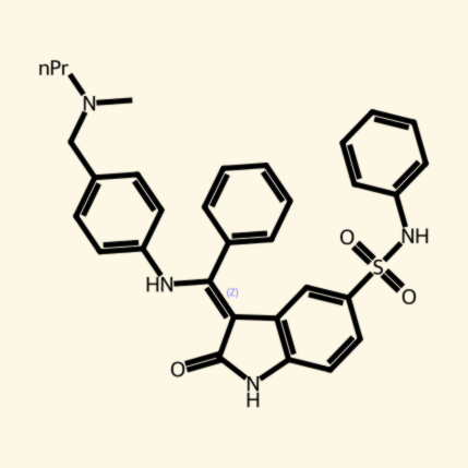 CCCN(C)Cc1ccc(N/C(=C2\C(=O)Nc3ccc(S(=O)(=O)Nc4ccccc4)cc32)c2ccccc2)cc1